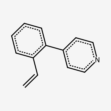 C=Cc1ccccc1-c1ccncc1